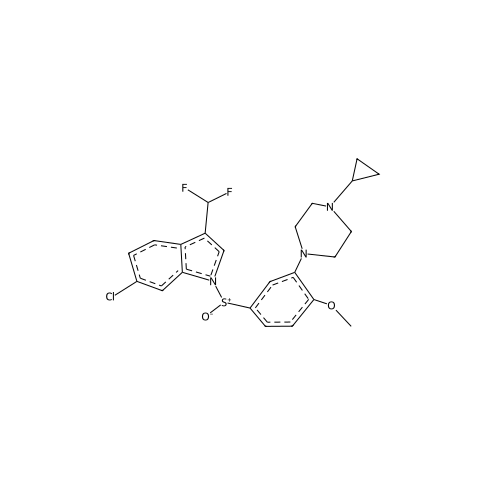 COc1ccc([S+]([O-])n2cc(C(F)F)c3ccc(Cl)cc32)cc1N1CCN(C2CC2)CC1